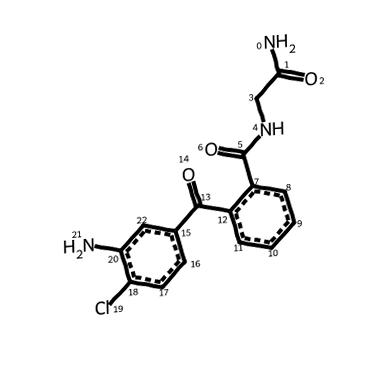 NC(=O)CNC(=O)c1ccccc1C(=O)c1ccc(Cl)c(N)c1